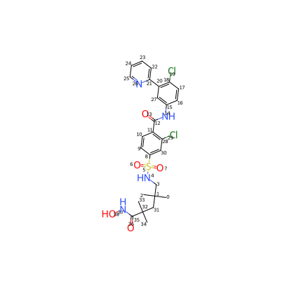 CC(C)(CNS(=O)(=O)c1ccc(C(=O)Nc2ccc(Cl)c(-c3ccccn3)c2)c(Cl)c1)CC(C)(C)C(=O)NO